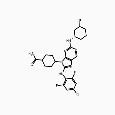 NC(=O)C1CCC(n2c(Nc3c(F)cc(Cl)cc3F)nc3cnc(N[C@H]4CCC[C@@H](O)C4)nc32)CC1